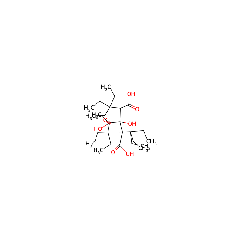 CCC(CC)(CC)C(C(=O)O)C(O)(C(=O)O)C(C(=O)O)(C(CC)(CC)CC)C(CC)(CC)CC